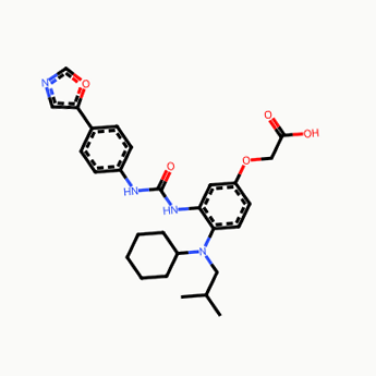 CC(C)CN(c1ccc(OCC(=O)O)cc1NC(=O)Nc1ccc(-c2cnco2)cc1)C1CCCCC1